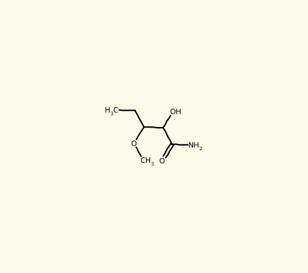 CCC(OC)C(O)C(N)=O